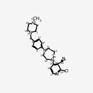 CN1CCN(Cc2ccc(N3CCCN(c4ccnc(Cl)c4C#N)CC3)cc2)CC1